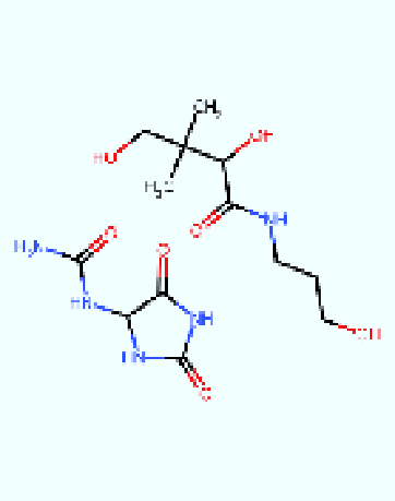 CC(C)(CO)C(O)C(=O)NCCCO.NC(=O)NC1NC(=O)NC1=O